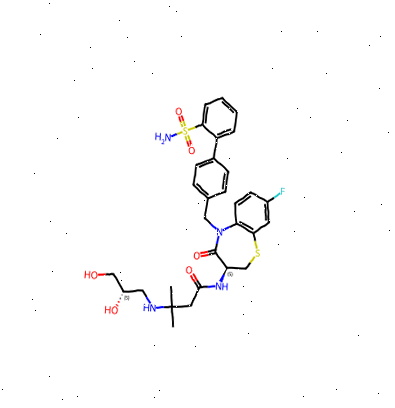 CC(C)(CC(=O)N[C@@H]1CSc2cc(F)ccc2N(Cc2ccc(-c3ccccc3S(N)(=O)=O)cc2)C1=O)NC[C@H](O)CO